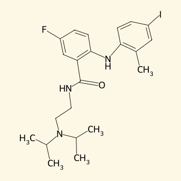 Cc1cc(I)ccc1Nc1ccc(F)cc1C(=O)NCCN(C(C)C)C(C)C